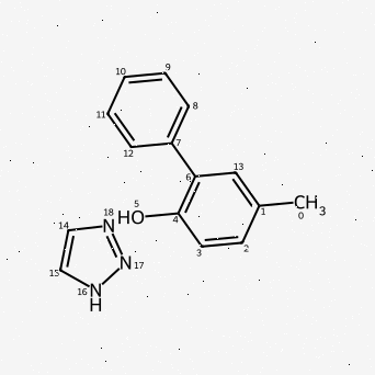 Cc1ccc(O)c(-c2ccccc2)c1.c1c[nH]nn1